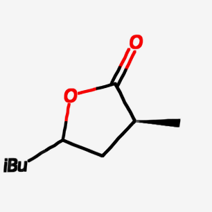 CCC(C)C1C[C@H](C)C(=O)O1